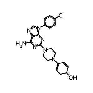 Nc1nc(N2CCN(C3=CCC(O)C=C3)CC2)nc2c1ncn2-c1ccc(Cl)cc1